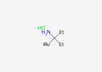 CCC(C)C(N)(CC)CC.Cl